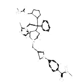 CNC(=O)OC1CCCC1C(Cn1ccnc1C)(c1ccccc1)C1CCN(CC2CN(c3ccc(C(=O)NC)cc3)C2)CC1